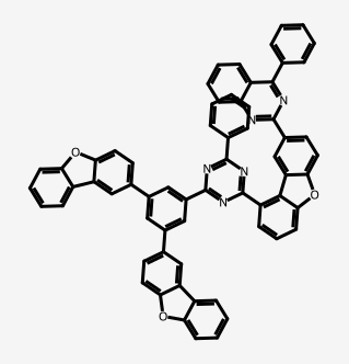 c1ccc(-c2nc(-c3cc(-c4ccc5oc6ccccc6c5c4)cc(-c4ccc5oc6ccccc6c5c4)c3)nc(-c3cccc4oc5ccc(-c6nc(-c7ccccc7)c7ccccc7n6)cc5c34)n2)cc1